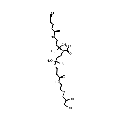 C#CCCCC(=O)NCCC(C)(C)N(CCC(C)(C)SCCC(=O)NCCOCC(O)CO)C(=O)CC